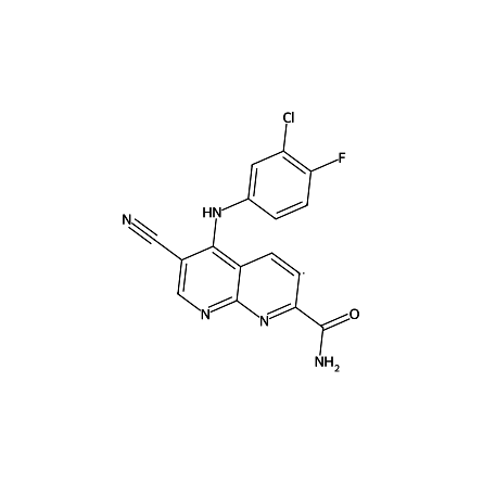 N#Cc1cnc2nc(C(N)=O)[c]cc2c1Nc1ccc(F)c(Cl)c1